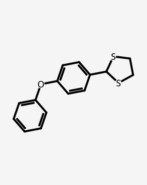 c1ccc(Oc2ccc(C3SCCS3)cc2)cc1